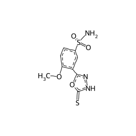 COc1ccc(S(N)(=O)=O)cc1-c1n[nH]c(=S)o1